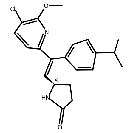 COc1nc(C(=C[C@H]2CCC(=O)N2)c2ccc(C(C)C)cc2)ccc1Cl